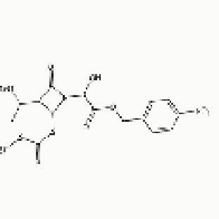 CCSC(=S)SC1C(C(C)OC(C)=O)C(=O)N1C(O)C(=O)OCc1ccc([N+](=O)[O-])cc1